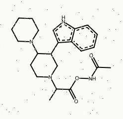 CC(=O)NOC(=O)C(C)N1CCC(N2CCCCC2)C(c2c[nH]c3ccccc23)C1